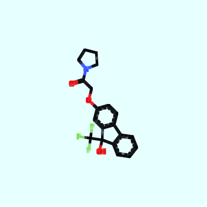 O=C(COc1ccc2c(c1)C(O)(C(F)(F)F)c1ccccc1-2)N1CCCC1